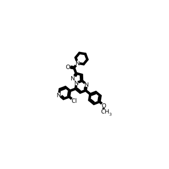 COc1ccc(-c2cc(-c3ccncc3Cl)n3nc(C(=O)N4CCCCC4)cc3n2)cc1